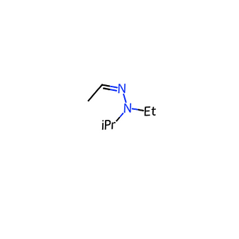 C/C=N\N(CC)C(C)C